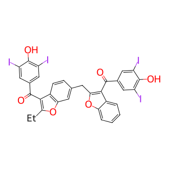 CCc1oc2cc(Cc3oc4ccccc4c3C(=O)c3cc(I)c(O)c(I)c3)ccc2c1C(=O)c1cc(I)c(O)c(I)c1